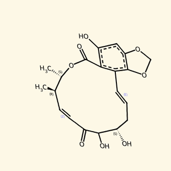 C[C@@H]1/C=C\C(=O)C(O)[C@@H](O)C/C=C/c2c3c(cc(O)c2C(=O)O[C@H]1C)OCO3